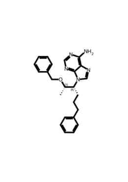 C[C@H](OCc1ccccc1)[C@@H](CCCc1ccccc1)n1cnc2c(N)ncnc21